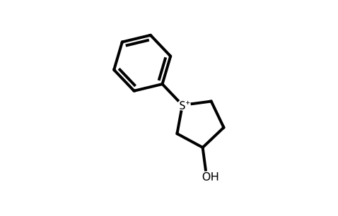 OC1CC[S+](c2ccccc2)C1